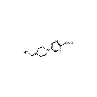 COc1ncc(N2CCC(=CC#N)CC2)cn1